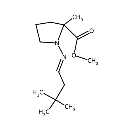 COC(=O)C1(C)CCCN1/N=C/CC(C)(C)C